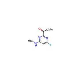 COC(=O)c1nc(F)cc(NC(C)(C)C)n1